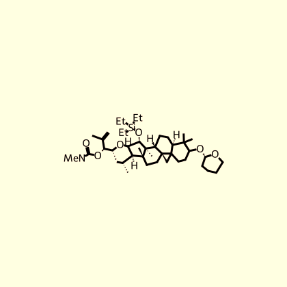 C=C(C)[C@@H](OC(=O)NC)[C@H]1C[C@@H](C)[C@H]2[C@H](O1)[C@H](O[Si](CC)(CC)CC)[C@@]1(C)[C@@H]3CC[C@H]4C(C)(C)C(O[C@H]5CCCCO5)CCC45C[C@@]35CC[C@]21C